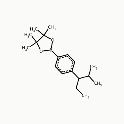 CCC(c1ccc(B2OC(C)(C)C(C)(C)O2)cc1)C(C)C